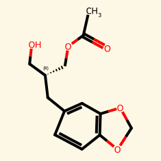 CC(=O)OC[C@@H](CO)Cc1ccc2c(c1)OCO2